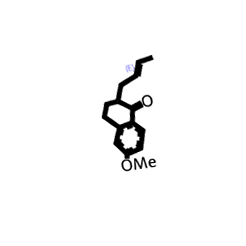 C/C=C/CC1CCc2cc(OC)ccc2C1=O